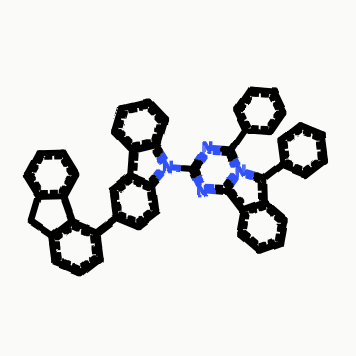 c1ccc(-c2nc(-n3c4ccccc4c4cc(-c5cccc6c5-c5ccccc5C6)ccc43)nc3c4ccccc4c(-c4ccccc4)n23)cc1